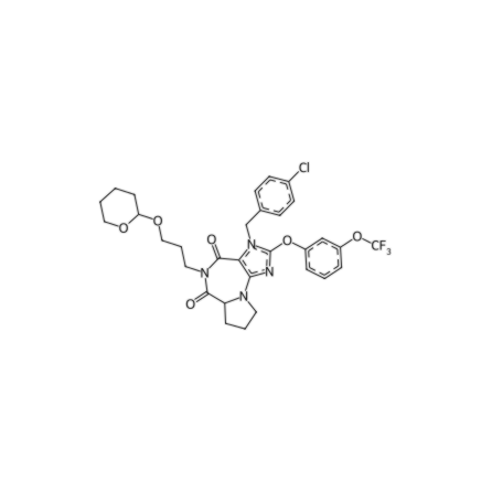 O=C1c2c(nc(Oc3cccc(OC(F)(F)F)c3)n2Cc2ccc(Cl)cc2)N2CCCC2C(=O)N1CCCOC1CCCCO1